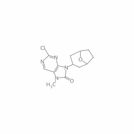 Cn1c(=O)n(C2CC3CCC(C2)O3)c2nc(Cl)ncc21